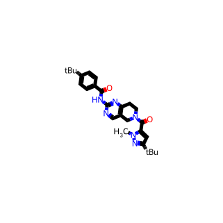 Cn1nc(C(C)(C)C)cc1C(=O)N1CCc2nc(NC(=O)c3ccc(C(C)(C)C)cc3)ncc2C1